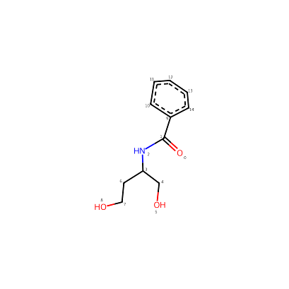 O=C(NC(CO)CCO)c1ccccc1